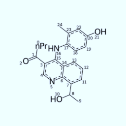 CCCC(=O)c1cnc2c(C(C)O)cccc2c1Nc1ccc(O)cc1C